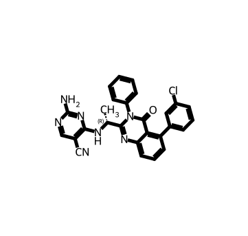 C[C@@H](Nc1nc(N)ncc1C#N)c1nc2cccc(-c3cccc(Cl)c3)c2c(=O)n1-c1ccccc1